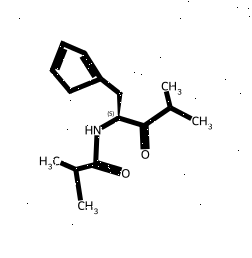 CC(C)C(=O)N[C@@H](CC1=CC=CC1)C(=O)C(C)C